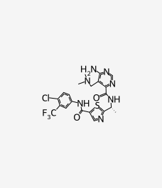 C[C@@H](NC(=O)c1ncnc(N)c1CN(C)C)c1ncc(C(=O)Nc2ccc(Cl)c(C(F)(F)F)c2)s1